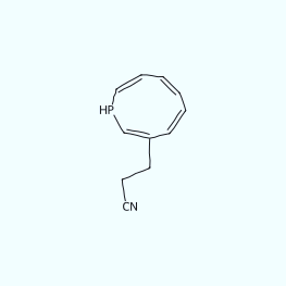 N#CCCc1cccccc[pH]c1